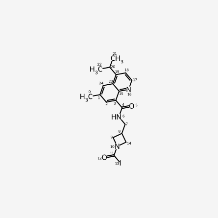 Cc1cc(C(=O)NCC2CN(C(=O)I)C2)c2nccc(C(C)C)c2c1